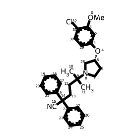 COc1cc(O[C@@H]2CCN(C(C)(C)CCC(C#N)(c3ccccc3)c3ccccc3)C2)ccc1Cl